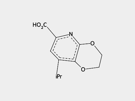 CC(C)c1cc(C(=O)O)nc2c1OCCO2